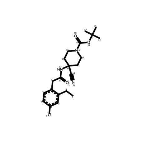 CCc1cc(Cl)ccc1CC(=O)NC1(C#N)CCN(C(=O)OC(C)(C)C)CC1